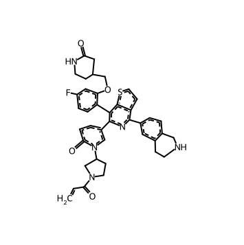 C=CC(=O)N1CCC(n2cc(-c3nc(-c4ccc5c(c4)CCNC5)c4ccsc4c3-c3ccc(F)cc3OCC3CCNC(=O)C3)ccc2=O)C1